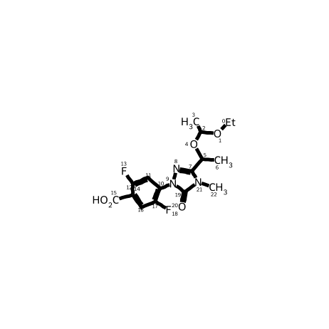 CCOC(C)OC(C)c1nn(-c2cc(F)c(C(=O)O)cc2F)c(=O)n1C